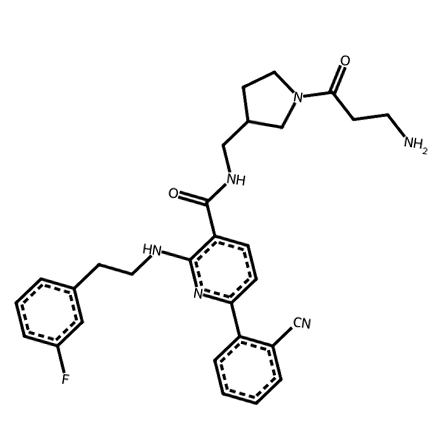 N#Cc1ccccc1-c1ccc(C(=O)NCC2CCN(C(=O)CCN)C2)c(NCCc2cccc(F)c2)n1